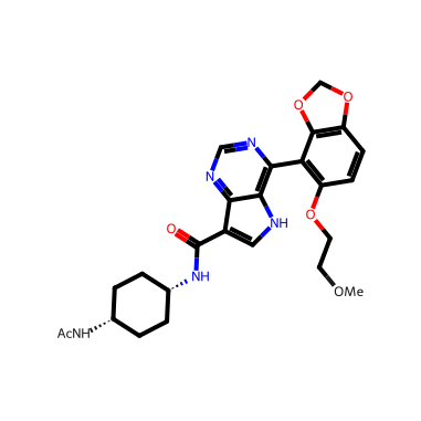 COCCOc1ccc2c(c1-c1ncnc3c(C(=O)N[C@H]4CC[C@@H](NC(C)=O)CC4)c[nH]c13)OCO2